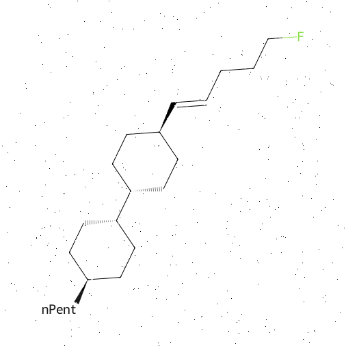 CCCCC[C@H]1CC[C@H]([C@H]2CC[C@H](C=CCCCF)CC2)CC1